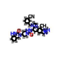 Cc1cc(CC(NC(=O)N2CCC(N3Cc4ccccc4NC3=O)CC2)c2nccn2Cc2cccc(C#N)c2)cc2cn[nH]c12